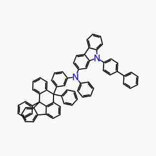 c1ccc(-c2ccc(-n3c4ccccc4c4ccc(N(c5ccccc5)c5cccc(C6(c7ccccc7)c7ccccc7C7(c8ccccc8)c8ccccc8-c8cccc6c87)c5)cc43)cc2)cc1